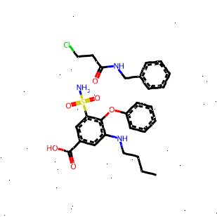 CCCCNc1cc(C(=O)O)cc(S(N)(=O)=O)c1Oc1ccccc1.O=C(CCCl)NCc1ccccc1